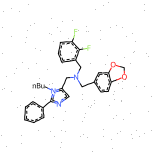 CCCCn1c(CN(Cc2ccc3c(c2)OCO3)Cc2cccc(F)c2F)cnc1-c1ccccc1